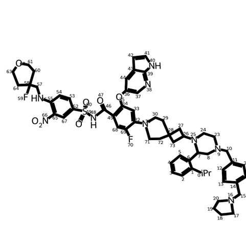 CC(C)c1ccccc1C1CN(Cc2ccc(CN3CCCC3)cc2)CCN1C1CC2(CCN(c3cc(Oc4cnc5[nH]ccc5c4)c(C(=O)NS(=O)(=O)c4ccc(NCC5(F)CCOCC5)c([N+](=O)[O-])c4)cc3F)CC2)C1